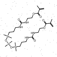 C=C(C)C(=O)OCCNC(=O)NCCC[Si](C)(C)O[Si](C)(C)O[Si](C)(C)CCCNC(=O)NCCOC(=O)C(=C)C